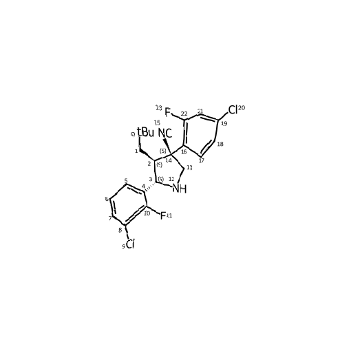 CC(C)(C)C[C@@H]1[C@@H](c2cccc(Cl)c2F)NC[C@@]1(C#N)c1ccc(Cl)cc1F